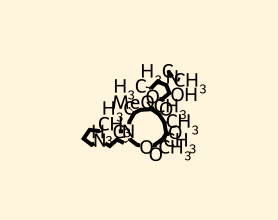 CO[C@]1(C)C[C@@H](C)CN(C)[C@@H](CCCN2CCC[C@H]2C)COC(=O)C(C)(C)C(=O)[C@H](C)[C@H]1O[C@@H]1O[C@H](C)C[C@H](N(C)C)[C@H]1O